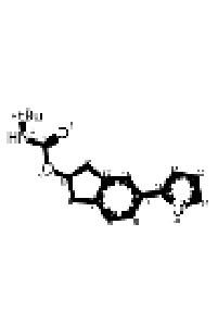 CC(C)(C)NC(=O)OC1Cc2ccc(-c3ccco3)cc2C1